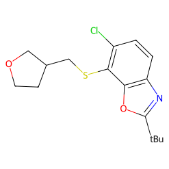 CC(C)(C)c1nc2ccc(Cl)c(SCC3CCOC3)c2o1